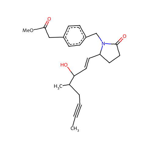 CC#CCC(C)C(O)/C=C/C1CCC(=O)N1Cc1ccc(CC(=O)OC)cc1